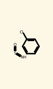 Clc1ccccc1.N=S=O